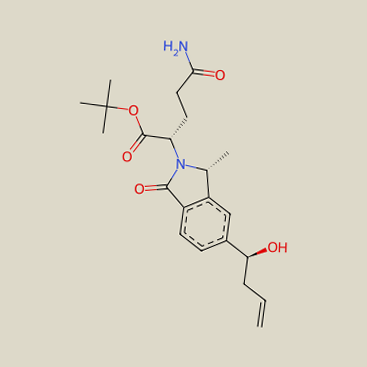 C=CC[C@H](O)c1ccc2c(c1)[C@@H](C)N([C@@H](CCC(N)=O)C(=O)OC(C)(C)C)C2=O